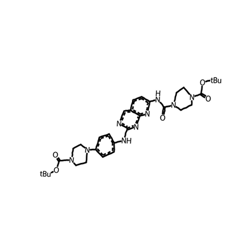 CC(C)(C)OC(=O)N1CCN(C(=O)Nc2ccc3cnc(Nc4ccc(N5CCN(C(=O)OC(C)(C)C)CC5)cc4)nc3n2)CC1